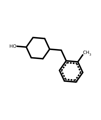 Cc1c[c]ccc1CC1CCC(O)CC1